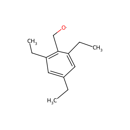 CCc1cc(CC)c(C[O])c(CC)c1